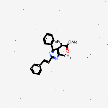 CCCC(C(=O)OC)c1c(C)nc(C=Cc2ccccc2)nc1-c1ccccc1